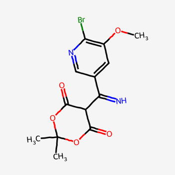 COc1cc(C(=N)C2C(=O)OC(C)(C)OC2=O)cnc1Br